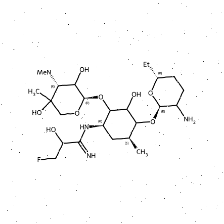 CC[C@@H]1CCC(N)[C@@H](OC2C(O)C(O[C@H]3OCC(C)(O)[C@H](NC)C3O)[C@H](NC(=N)C(O)CF)C[C@@H]2C)O1